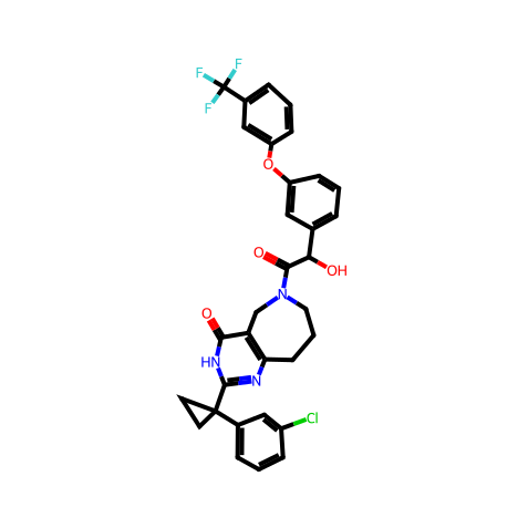 O=C(C(O)c1cccc(Oc2cccc(C(F)(F)F)c2)c1)N1CCCc2nc(C3(c4cccc(Cl)c4)CC3)[nH]c(=O)c2C1